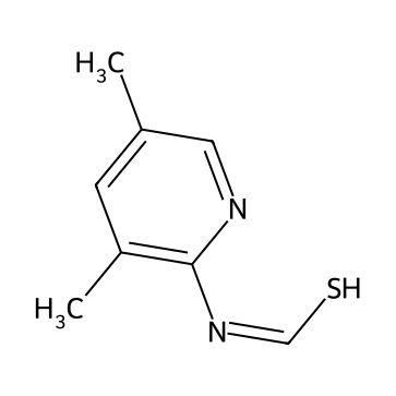 Cc1cnc(/N=C\S)c(C)c1